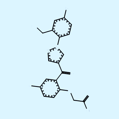 CCc1cc(Br)ccc1-n1cc(C(=O)c2cc(Br)ccc2OCC(=O)O)cn1